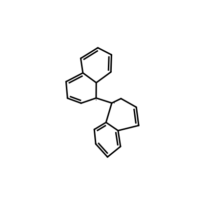 C1=C[C]([C]2CC=Cc3ccccc32)C2C=CC=CC2=C1